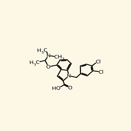 CC(Oc1cccc2c1cc(C(=O)O)n2Cc1ccc(Cl)c(Cl)c1)N(C)C